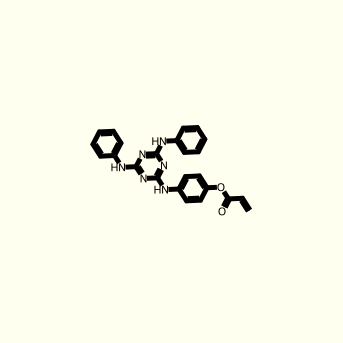 C=CC(=O)Oc1ccc(Nc2nc(Nc3ccccc3)nc(Nc3ccccc3)n2)cc1